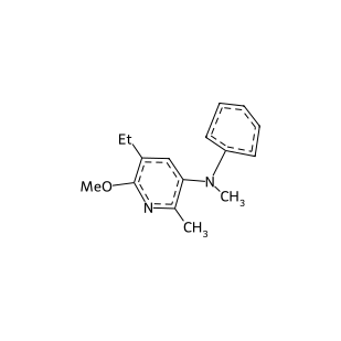 CCc1cc(N(C)c2ccccc2)c(C)nc1OC